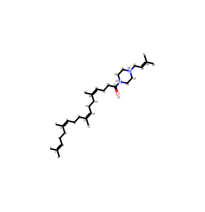 CC(C)=CCCC(C)=CCCC(C)=CCCC(C)=CCCC(=O)N1CCN(CC=C(C)C)CC1